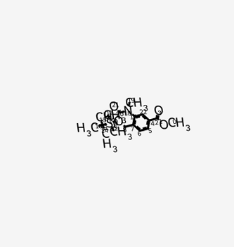 COC(=O)c1ccc(CO[Si](C)(C)C(C)(C)C)c(N(C)C=O)c1